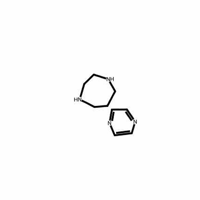 C1CNCCNC1.c1cnccn1